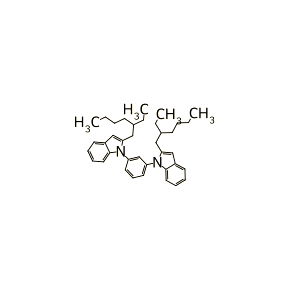 CCCCC(CC)Cc1cc2ccccc2n1-c1cccc(-n2c(CC(CC)CCCC)cc3ccccc32)c1